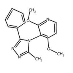 COc1ccnc(OC)c1-n1c(C)nnc1-c1ccccc1